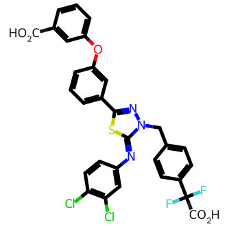 O=C(O)c1cccc(Oc2cccc(-c3nn(Cc4ccc(C(F)(F)C(=O)O)cc4)c(=Nc4ccc(Cl)c(Cl)c4)s3)c2)c1